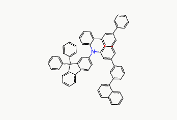 c1ccc(-c2cccc(-c3ccccc3N(c3cccc(-c4cccc(-c5cccc6ccccc56)c4)c3)c3ccc4c(c3)C(c3ccccc3)(c3ccccc3)c3ccccc3-4)c2)cc1